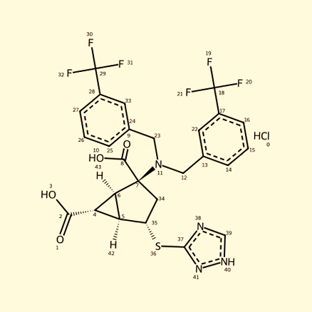 Cl.O=C(O)[C@H]1[C@H]2[C@@H]1[C@@](C(=O)O)(N(Cc1cccc(C(F)(F)F)c1)Cc1cccc(C(F)(F)F)c1)C[C@@H]2Sc1nc[nH]n1